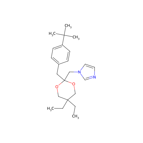 CCC1(CC)COC(Cc2ccc(C(C)(C)C)cc2)(Cn2ccnc2)OC1